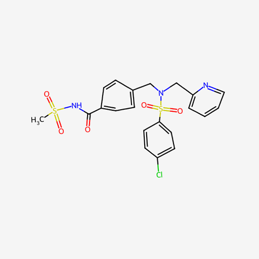 CS(=O)(=O)NC(=O)c1ccc(CN(Cc2ccccn2)S(=O)(=O)c2ccc(Cl)cc2)cc1